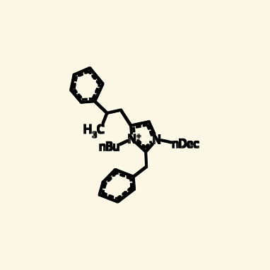 CCCCCCCCCCn1cc(CC(C)c2ccccc2)[n+](CCCC)c1Cc1ccccc1